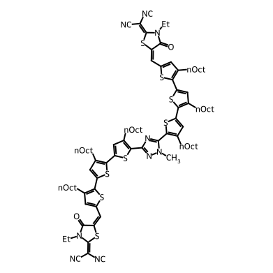 [C-]#[N+]/C(C#N)=c1\s/c(=C/c2cc(CCCCCCCC)c(-c3cc(CCCCCCCC)c(-c4cc(CCCCCCCC)c(-c5nc(-c6sc(-c7sc(-c8sc(/C=c9/s/c(=C(\C#N)[N+]#[C-])n(CC)c9=O)cc8CCCCCCCC)cc7CCCCCCCC)cc6CCCCCCCC)n(C)n5)s4)s3)s2)c(=O)n1CC